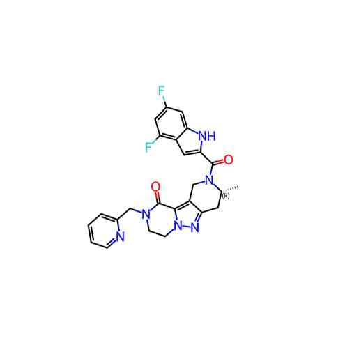 C[C@@H]1Cc2nn3c(c2CN1C(=O)c1cc2c(F)cc(F)cc2[nH]1)C(=O)N(Cc1ccccn1)CC3